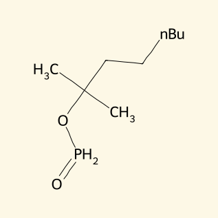 CCCCCCC(C)(C)O[PH2]=O